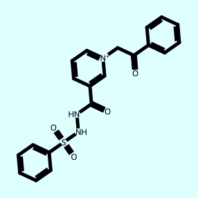 O=C(C[n+]1cccc(C(=O)NNS(=O)(=O)c2ccccc2)c1)c1ccccc1